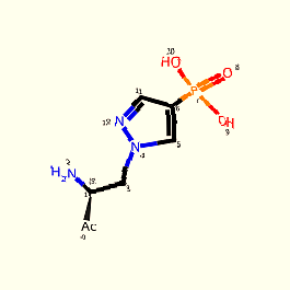 CC(=O)[C@@H](N)Cn1cc(P(=O)(O)O)cn1